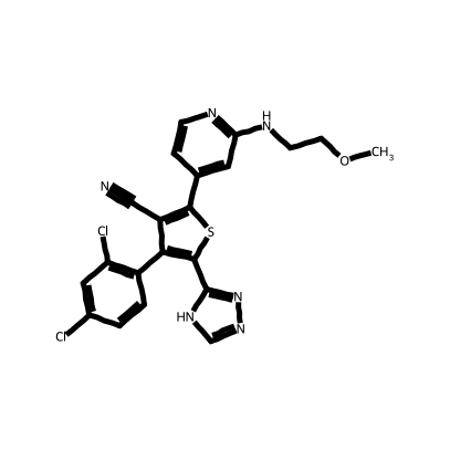 COCCNc1cc(-c2sc(-c3nnc[nH]3)c(-c3ccc(Cl)cc3Cl)c2C#N)ccn1